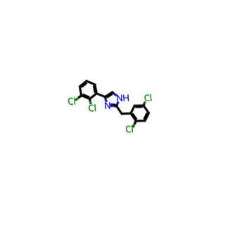 Clc1ccc(Cl)c(Cc2nc(-c3cccc(Cl)c3Cl)c[nH]2)c1